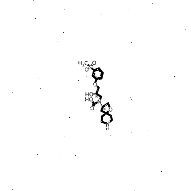 CS(=O)(=O)c1cccc(OC[C@H](O)CN(C(=O)O)[C@@H]2COC3(CCNCC3)C2)c1